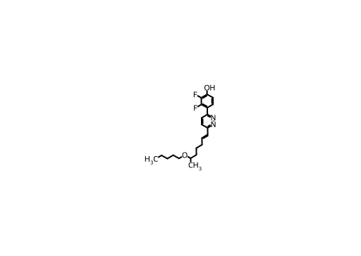 CCCCCOC(C)CCCC=Cc1ccc(-c2ccc(O)c(F)c2F)nn1